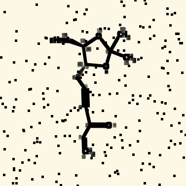 C=CC(=O)C#CC[C@H]1OC(C)(C)O[C@@H]1CCCCCCC